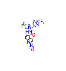 O=C(NC[C@@H](c1cnc(C(F)(F)F)nc1)N1CCC(F)(F)CC1)c1cccc2nc(N3CCOCC3)ccc12